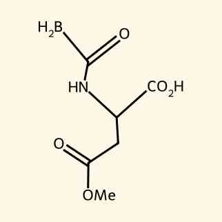 BC(=O)NC(CC(=O)OC)C(=O)O